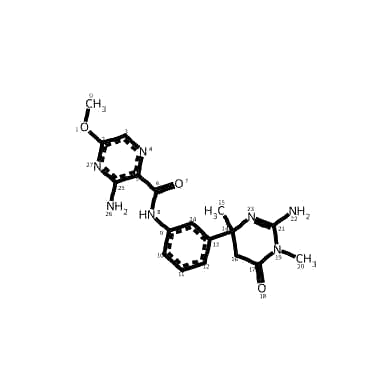 COc1cnc(C(=O)Nc2cccc(C3(C)CC(=O)N(C)C(N)=N3)c2)c(N)n1